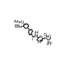 COc1ccc(-c2ccc([C@H](C)Nc3cncc(N4C(=O)OC[C@@H]4C(C)C)n3)cc2)cc1C(C)(C)C